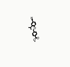 COC(=O)c1ccc(COc2ccc(C#N)cc2C(C)C)cc1